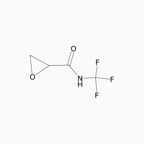 O=C(NC(F)(F)F)C1CO1